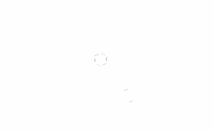 CCC(=O)CC(=O)OCCSc1ccc(CCOC2CCCCO2)cc1